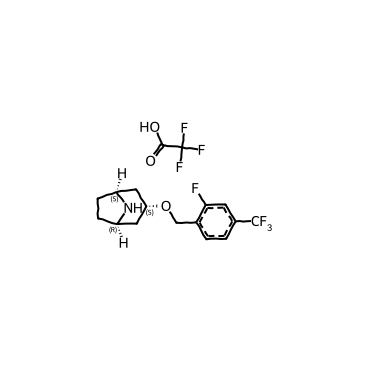 Fc1cc(C(F)(F)F)ccc1CO[C@@H]1C[C@H]2CC[C@@H](C1)N2.O=C(O)C(F)(F)F